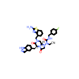 N#CCN(C(=O)NCc1ccc(F)cc1)N1CC(=O)N2[C@@H](Cc3ccc4[nH]ncc4c3)C(=O)N(Cc3cccc4sc(N)nc34)C[C@@H]21